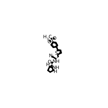 CS(=O)(=O)c1ccc(-c2ccc(C[C@@H](C#N)NC(=O)[C@H]3N[C@@H]4CC[C@H]3C4)s2)cc1